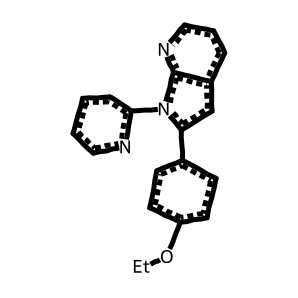 CCOc1ccc(-c2cc3cccnc3n2-c2ccccn2)cc1